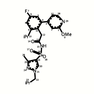 COc1cc(-c2cc(F)cc(C(C)C)c2CC(=O)NS(=O)(=O)c2cn(CC(C)C)nc2C)ccn1